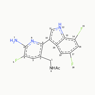 CC(=O)NCc1cc(F)c(N)nc1-c1c[nH]c2c(F)cc(F)cc12